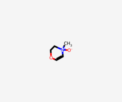 C[N+]1([O-])C=COCC1